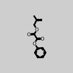 C=C(C)COC(=O)C(=O)Oc1ccccc1